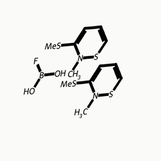 CSC1=CC=CSN1C.CSC1=CC=CSN1C.OB(O)F